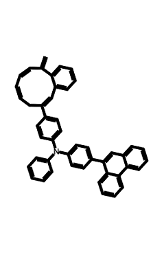 C=C1/C=C\C=C/C/C(c2ccc(N(c3ccccc3)c3ccc(-c4cc5ccccc5c5ccccc45)cc3)cc2)=C\c2ccccc21